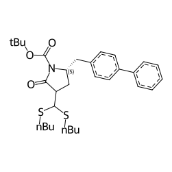 CCCCSC(SCCCC)C1C[C@@H](Cc2ccc(-c3ccccc3)cc2)N(C(=O)OC(C)(C)C)C1=O